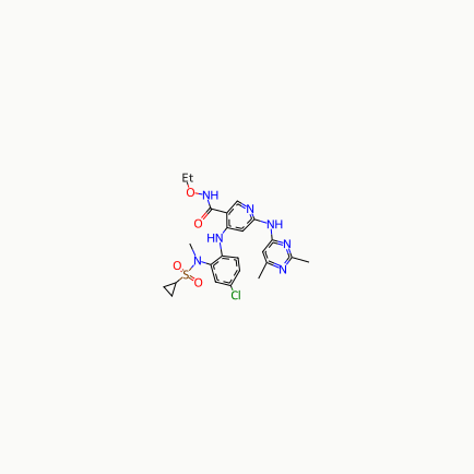 CCONC(=O)c1cnc(Nc2cc(C)nc(C)n2)cc1Nc1ccc(Cl)cc1N(C)S(=O)(=O)C1CC1